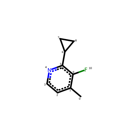 Cc1ccnc(C2CC2)c1F